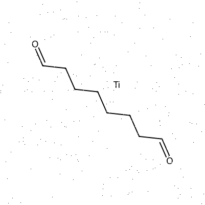 O=CCCCCCCC=O.[Ti]